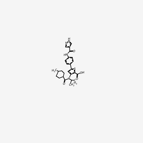 CC1CCC(C(=O)N(c2cc(-c3ccc(NC(=O)c4cn[nH]c4)cc3)sc2C(=O)O)C(C)C)CC1